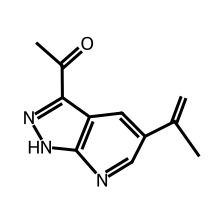 C=C(C)c1cnc2[nH]nc(C(C)=O)c2c1